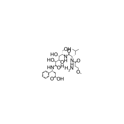 COC[C@H](N)C(=O)N[C@@H](CC(C)C)C(=O)N[C@@H](CO)[C@@H](O)[C@@H](O)[C@H](O)C(=O)N[C@@H](CC(=O)O)c1ccccc1